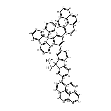 CC1(C)c2cc(-c3cc(-c4ccc5ccc6cccc7ccc4c5c67)cc([Si](c4ccccc4)(c4ccccc4)c4ccccc4)c3)ccc2-c2ccc(-c3ccc4ccc5cccc6ccc3c4c56)cc21